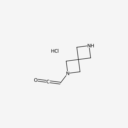 Cl.O=C=CN1CC2(CNC2)C1